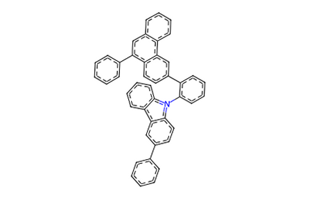 c1ccc(-c2ccc3c(c2)c2ccccc2n3-c2ccccc2-c2ccc3c(-c4ccccc4)cc4ccccc4c3c2)cc1